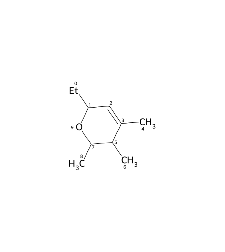 CCC1C=C(C)C(C)C(C)O1